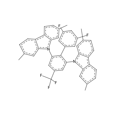 Cc1ccc2c3ccc(C)cc3n(-c3cc(C(F)(F)F)cc(-n4c5cc(C)ccc5c5ccc(C)cc54)c3-c3cc(F)cc(F)c3)c2c1